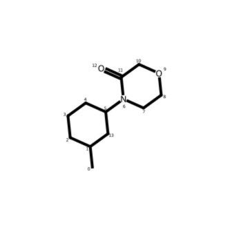 CC1CCCC(N2CCOCC2=O)C1